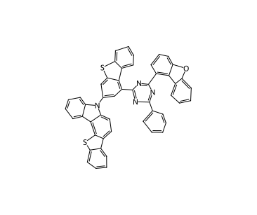 c1ccc(-c2nc(-c3cccc4oc5ccccc5c34)nc(-c3cc(-n4c5ccccc5c5c6sc7ccccc7c6ccc54)cc4sc5ccccc5c34)n2)cc1